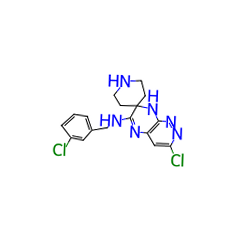 Clc1cccc(CNC2=Nc3cc(Cl)nnc3NC23CCNCC3)c1